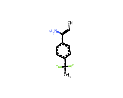 CC(F)(F)c1ccc(C(N)=CC#N)cc1